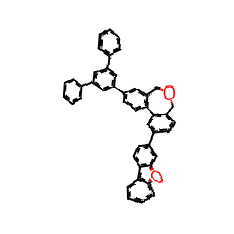 c1ccc(-c2cc(-c3ccccc3)cc(-c3ccc4c(c3)COCc3ccc(-c5ccc6c(c5)oc5ccccc56)cc3-4)c2)cc1